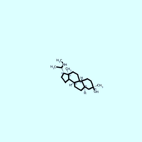 CNC(C)[C@H]1CCC2[C@@H]3CC[C@@H]4C[C@](C)(O)CC[C@@H]4C3CC[C@@]21C